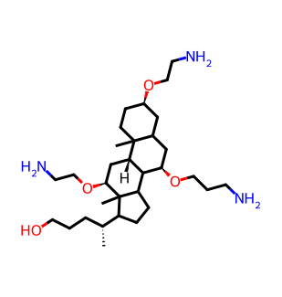 C[C@H](CCCO)C1CCC2C3[C@H](OCCCN)CC4C[C@H](OCCN)CCC4(C)[C@H]3C[C@H](OCCN)C21C